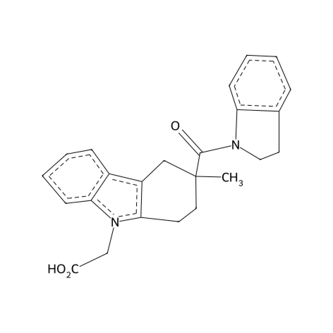 CC1(C(=O)N2CCc3ccccc32)CCc2c(c3ccccc3n2CC(=O)O)C1